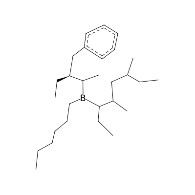 CCCCCCB(C(CC)C(C)CC(C)CC)C(C)[C@@H](CC)Cc1ccccc1